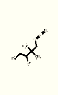 CC(C)(CN=[N+]=[N-])C(O)[CH2][BaH]